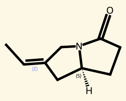 C/C=C1/C[C@@H]2CCC(=O)N2C1